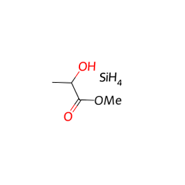 COC(=O)C(C)O.[SiH4]